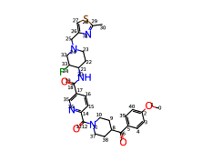 COc1ccc(C(=O)C2CCN(C(=O)c3ccc(C(=O)N[C@@H]4CCN(Cc5csc(C)n5)C[C@@H]4F)cn3)CC2)cc1